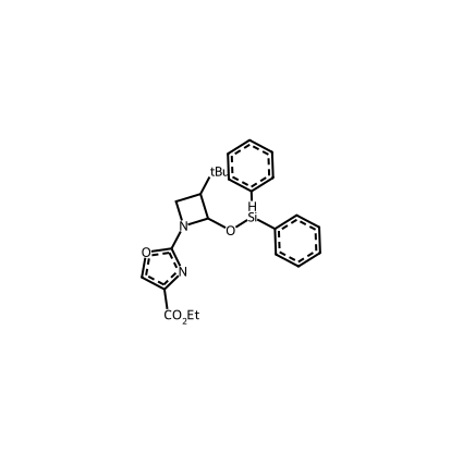 CCOC(=O)c1coc(N2CC(C(C)(C)C)C2O[SiH](c2ccccc2)c2ccccc2)n1